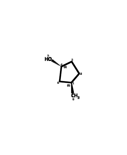 C[C@@H]1CC[C@@H](O)C1